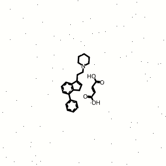 C1=C(CCN2CCCCC2)c2cccc(-c3ccccc3)c2C1.O=C(O)C=CC(=O)O